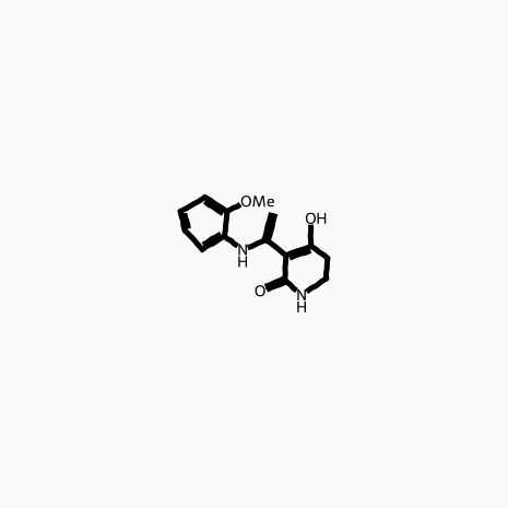 C=C(Nc1ccccc1OC)C1=C(O)CCNC1=O